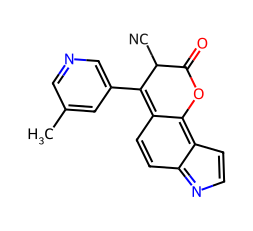 Cc1cncc(C2=c3ccc4c(c3OC(=O)C2C#N)C=CN=4)c1